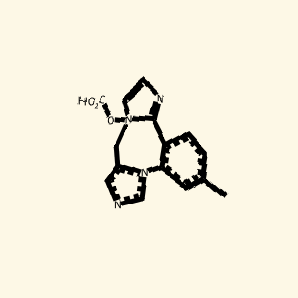 Cc1ccc2c(c1)-n1cncc1C[N+]1(OC(=O)O)C=CN=C21